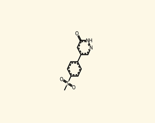 CS(=O)(=O)c1ccc(-c2cn[nH]c(=O)c2)cc1